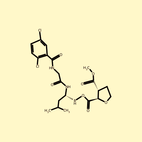 COC(=O)[C@@H]1CCO[C@H]1C(=O)OB[C@H](CC(C)C)NC(=O)CNC(=O)c1cc(Cl)ccc1Cl